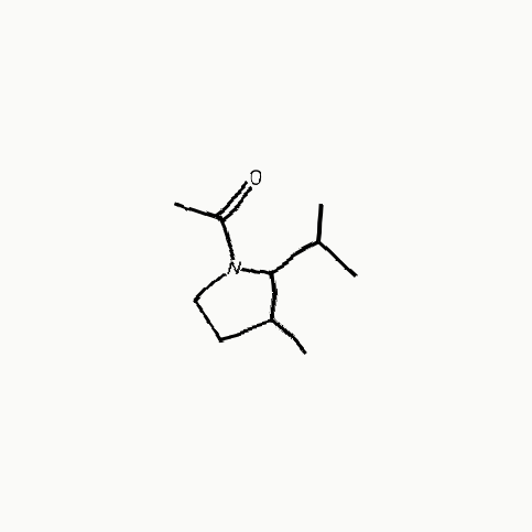 CC(=O)N1CCC(C)C1C(C)C